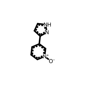 [O-][n+]1cccc(-c2cc[nH]n2)c1